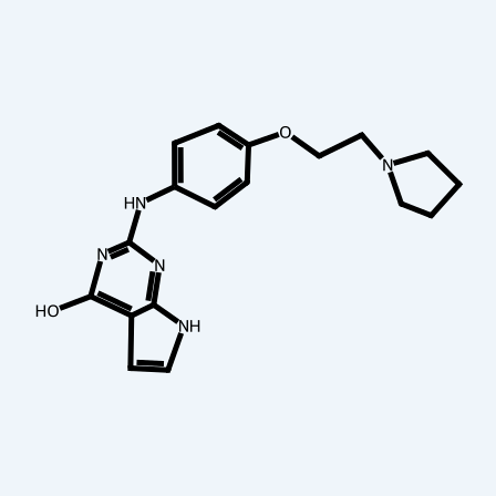 Oc1nc(Nc2ccc(OCCN3CCCC3)cc2)nc2[nH]ccc12